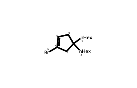 CCCCCCC1(CCCCCC)CC=C(Br)C1